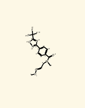 CO/N=C/CN(C)C(=O)c1ccc(-c2noc(C(F)(F)F)n2)cc1